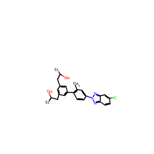 CCC(O)Cc1cc(CC(O)CC)cc(-c2ccc(-n3nc4ccc(Cl)cc4n3)cc2C)c1